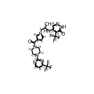 CC(Cn1ccc(C(=O)N2CCN(c3nccc(C(F)(F)F)n3)CC2)c1)Nc1cn[nH]c(=O)c1C(F)(F)F